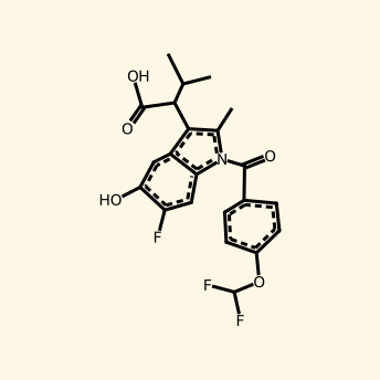 Cc1c(C(C(=O)O)C(C)C)c2cc(O)c(F)cc2n1C(=O)c1ccc(OC(F)F)cc1